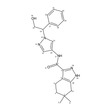 CC1(C)CCc2c(C(=O)Nc3cnn(C(CO)c4ccccc4)c3)n[nH]c2C1